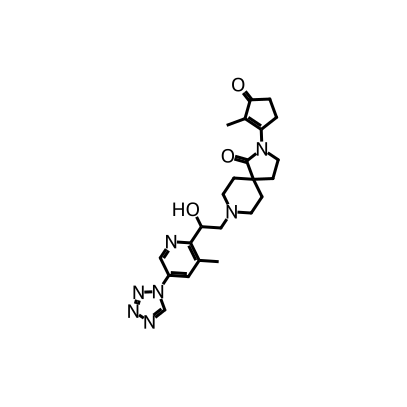 CC1=C(N2CCC3(CCN(CC(O)c4ncc(-n5cnnn5)cc4C)CC3)C2=O)CCC1=O